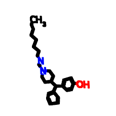 CCCCCCCCN=CN1CCC(C(c2ccccc2)c2ccc(O)cc2)CC1